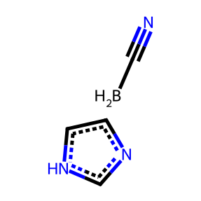 BC#N.c1c[nH]cn1